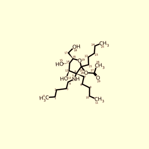 CCCCCN[C@]1(CCCCC)[C@@H](O)[C@H](O)[C@@H](CO)OC1(CCCCC)OC(C)=O